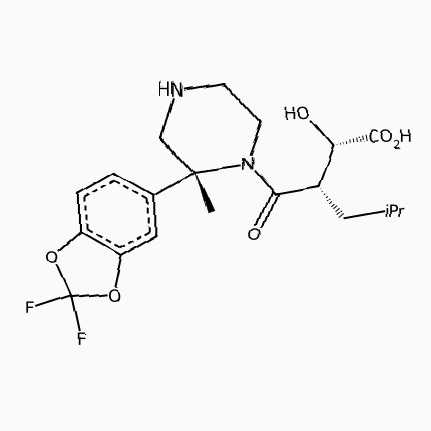 CC(C)C[C@H](C(=O)N1CCNC[C@@]1(C)c1ccc2c(c1)OC(F)(F)O2)[C@H](O)C(=O)O